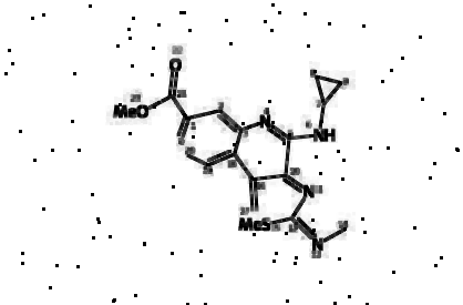 C=C(/C=C1N=C(NC2CC2)/C(=N/C(=N\C)SC)C(=C)C/1=C/C)C(=O)OC